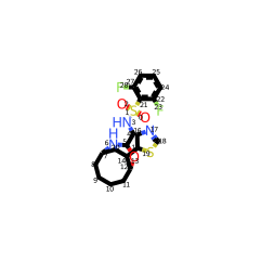 O=S(=O)(NCC1NC2CCCCC(O1)C(C1CN=CS1)C2)c1c(F)cccc1F